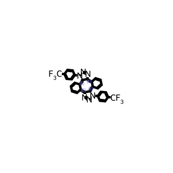 FC(F)(F)c1ccc(-n2nnc3/c2=c2/cccc/c2=c2\nnn(-c4ccc(C(F)(F)F)cc4)\c2=c2/cccc/c2=3)cc1